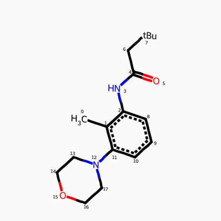 Cc1c(NC(=O)CC(C)(C)C)cccc1N1CCOCC1